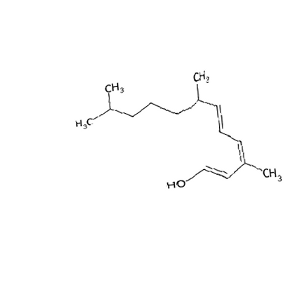 CC(C=CO)=CC=CC(C)CCCC(C)C